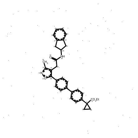 CCOC(=O)C1(c2ccc(-c3ccc(-c4onc(C)c4CC(=O)NC4Cc5ccccc5C4)cc3)cc2)CC1